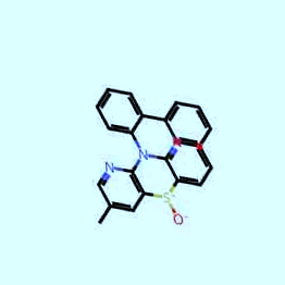 Cc1cnc2c(c1)[S+]([O-])c1cccnc1N2c1ccccc1-c1ccccc1